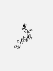 CCOC(C)(C)Cc1cc(Cl)c(F)c(CNC(=O)CN(C(=O)Cn2nc(C(C)=O)c3cc(C(=O)N=[N+]=[N-])ccc32)C(C)C)c1